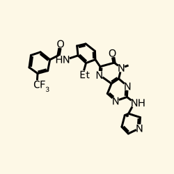 CCc1c(NC(=O)c2cccc(C(F)(F)F)c2)cccc1-c1nc2cnc(Nc3cccnc3)nc2n(C)c1=O